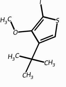 COc1c(C(C)(C)C)csc1I